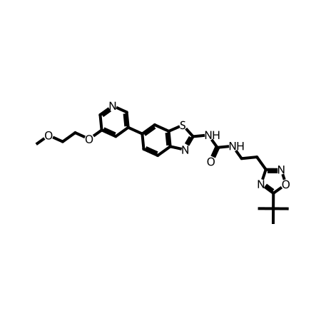 COCCOc1cncc(-c2ccc3nc(NC(=O)NCCc4noc(C(C)(C)C)n4)sc3c2)c1